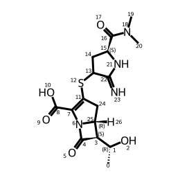 C[C@@H](O)[C@H]1C(=O)N2C(C(=O)O)=C(SC3C[C@@H](C(=O)N(C)C)NC3=N)C[C@H]12